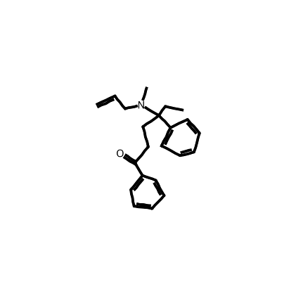 C=CCN(C)C(CC)(CCC(=O)c1ccccc1)c1ccccc1